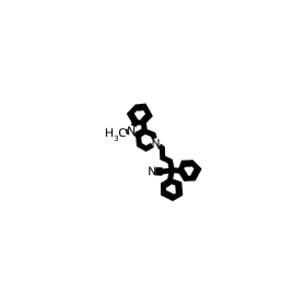 Cn1c2c(c3ccccc31)CN(CCCC(C#N)(c1ccccc1)c1ccccc1)CC2